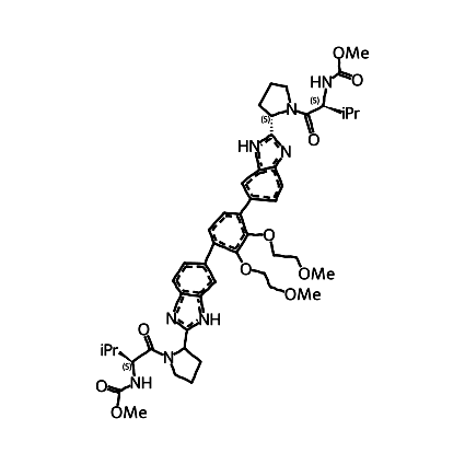 COCCOc1c(-c2ccc3nc(C4CCCN4C(=O)[C@@H](NC(=O)OC)C(C)C)[nH]c3c2)ccc(-c2ccc3nc([C@@H]4CCCN4C(=O)[C@@H](NC(=O)OC)C(C)C)[nH]c3c2)c1OCCOC